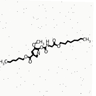 CCCCCCCCOC(=O)CNC(=O)Oc1ncc(C(=O)OCCCCCC)cc1OC